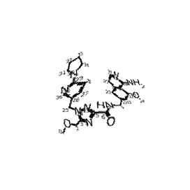 COCc1nc(C(=O)NCc2cc(OC)c3c(N)nccc3c2)nn1Cc1ccc(N2CCCC2)nc1